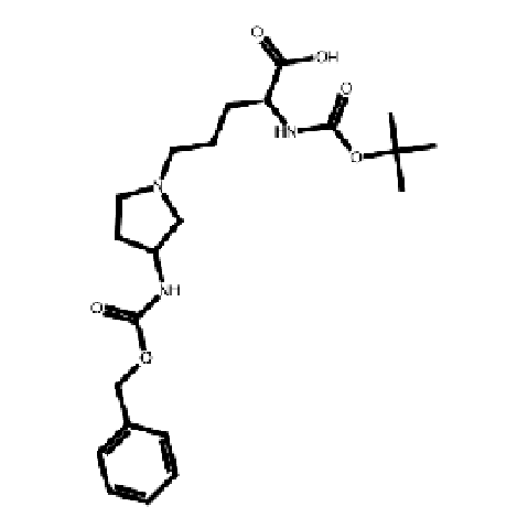 CC(C)(C)OC(=O)N[C@@H](CCCN1CCC(NC(=O)OCc2ccccc2)C1)C(=O)O